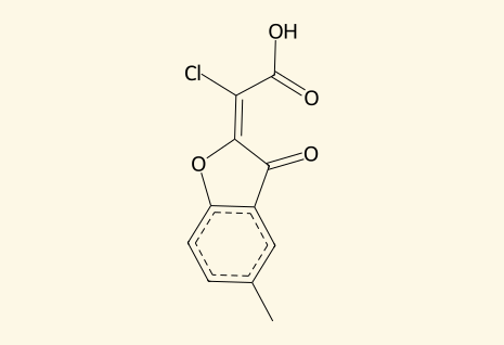 Cc1ccc2c(c1)C(=O)C(=C(Cl)C(=O)O)O2